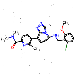 COc1cccc(F)c1CNc1ccc(-c2ccc(C(=O)N(C)C)nc2C)c2nncn12